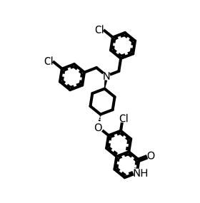 O=c1[nH]ccc2cc(O[C@H]3CC[C@H](N(Cc4cccc(Cl)c4)Cc4cccc(Cl)c4)CC3)c(Cl)cc12